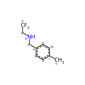 Cc1ccc(CNCC(F)(F)F)cc1